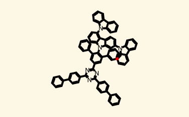 c1ccc(-c2ccc(-c3nc(-c4ccc(-c5ccccc5)cc4)nc(-c4cc(-c5ccccc5)c(-n5c6cc(-n7c8ccccc8c8ccccc87)ccc6c6c(-n7c8ccccc8c8ccccc87)cccc65)c(-c5ccccc5)c4)n3)cc2)cc1